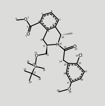 COC(=O)c1cccc2c1C[C@H](CO[Si](C)(C)C(C)(C)C)N(C(=O)Cc1cc(OC)ccc1Cl)[C@H]2C